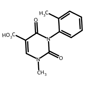 Cc1ccccc1-n1c(=O)c(C(=O)O)cn(C)c1=O